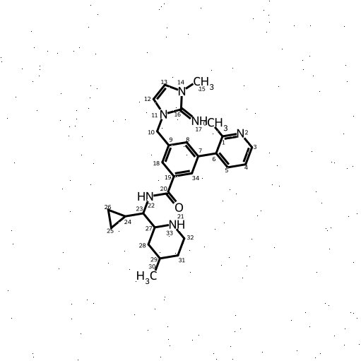 Cc1ncccc1-c1cc(Cn2ccn(C)c2=N)cc(C(=O)NC(C2CC2)C2CC(C)CCN2)c1